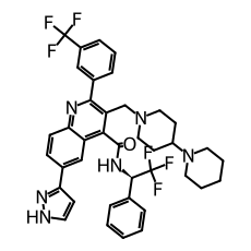 O=C(N[C@H](c1ccccc1)C(F)(F)F)c1c(CN2CCC(N3CCCCC3)CC2)c(-c2cccc(C(F)(F)F)c2)nc2ccc(-c3cc[nH]n3)cc12